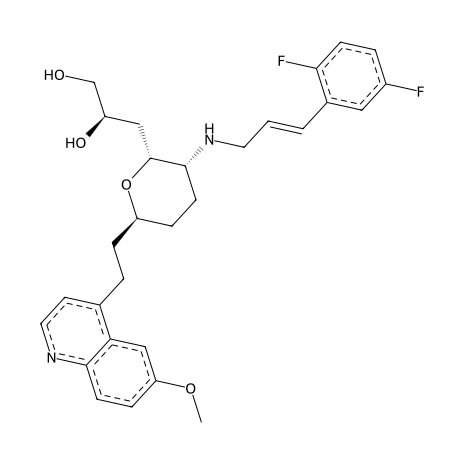 COc1ccc2nccc(CC[C@@H]3CC[C@@H](NC/C=C/c4cc(F)ccc4F)[C@@H](C[C@@H](O)CO)O3)c2c1